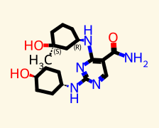 C[C@]1(O)CCC[C@@H](Nc2nc(N[C@H]3CC[C@H](O)CC3)ncc2C(N)=O)C1